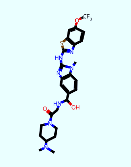 CN(C)C1CCN(C(=O)CNC(O)c2ccc3c(c2)nc(Nc2nc4ccc(OC(F)(F)F)cc4s2)n3C)CC1